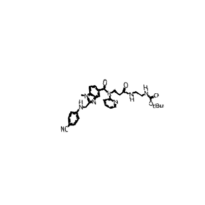 Cn1c(CNc2ccc(C#N)cc2)nc2cc(C(=O)N(CCC(=O)NCCNC(=O)OC(C)(C)C)c3ccccn3)ccc21